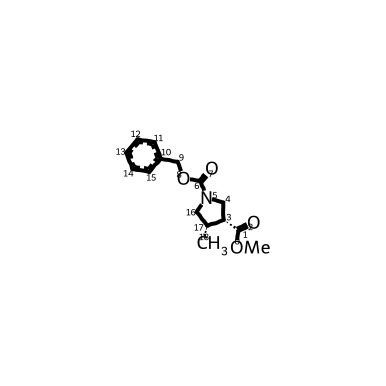 COC(=O)[C@H]1CN(C(=O)OCc2ccccc2)C[C@H]1C